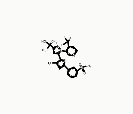 Cc1cc(-c2cccc(S(C)(=O)=O)c2)sc1-c1cc(C(C)(C)O)nn1-c1cnccc1C(F)(F)F